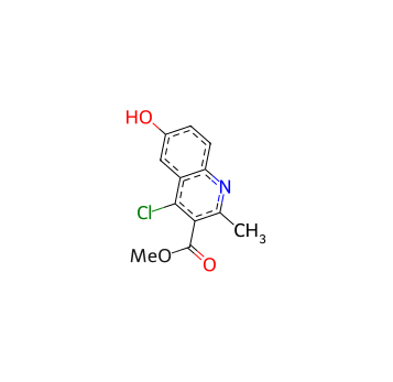 COC(=O)c1c(C)nc2ccc(O)cc2c1Cl